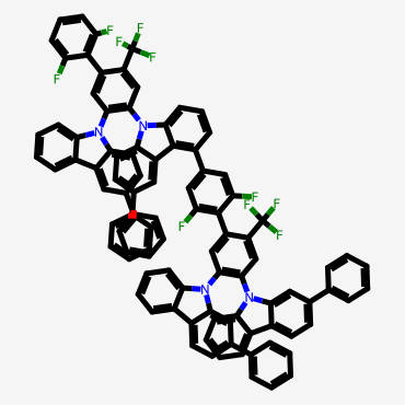 Fc1cc(-c2cccc3c2c2cc(-c4ccccc4)ccc2n3-c2cc(C(F)(F)F)c(-c3c(F)cccc3F)cc2-n2c3ccccc3c3cc(-c4ccccc4)ccc32)cc(F)c1-c1cc(-n2c3ccccc3c3ccc(-c4ccccc4)cc32)c(-n2c3ccccc3c3ccc(-c4ccccc4)cc32)cc1C(F)(F)F